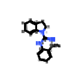 CSc1ccccc1NC(=N)N1CCc2ccccc21